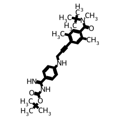 Cc1cc(C(=O)N(C)C(C)(C)C)c(C)cc1C#CCNc1ccc(C(=N)NC(=O)OC(C)(C)C)cc1